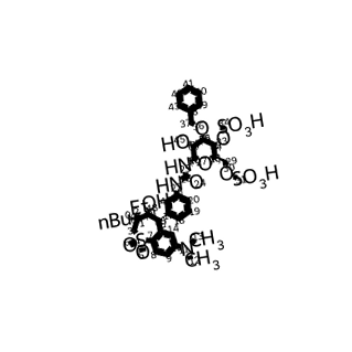 CCCC[C@]1(CC)CS(=O)(=O)c2ccc(N(C)C)cc2[C@@H](c2cccc(NC(=O)N[C@@H]3O[C@H](COS(=O)(=O)O)[C@@H](OS(=O)(=O)O)[C@H](OCc4ccccc4)[C@H]3O)c2)[C@H]1O